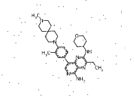 CCc1nc2c(N)ncc(-c3ccc(N4CCC5(CCN(C)CC5)CC4)c(C)c3)c2nc1NC1CCOCC1